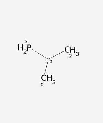 CC(C)P